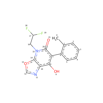 Cc1ccccc1-c1c(O)c2ncoc2n(CC(F)F)c1=O